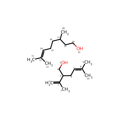 C=C(C)C(CO)CC=C(C)C.CC(C)=CCCC(C)CCO